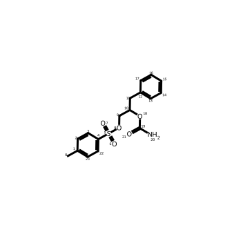 Cc1ccc(S(=O)(=O)OCC(Cc2ccccc2)OC(N)=O)cc1